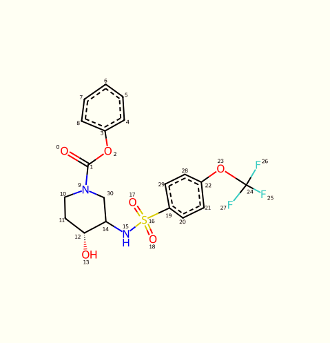 O=C(Oc1ccccc1)N1CC[C@@H](O)C(NS(=O)(=O)c2ccc(OC(F)(F)F)cc2)C1